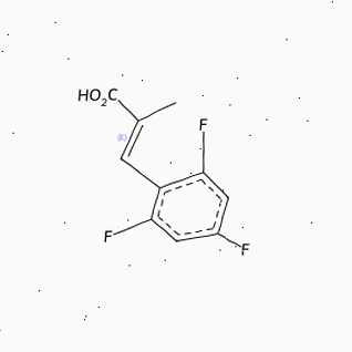 C/C(=C\c1c(F)cc(F)cc1F)C(=O)O